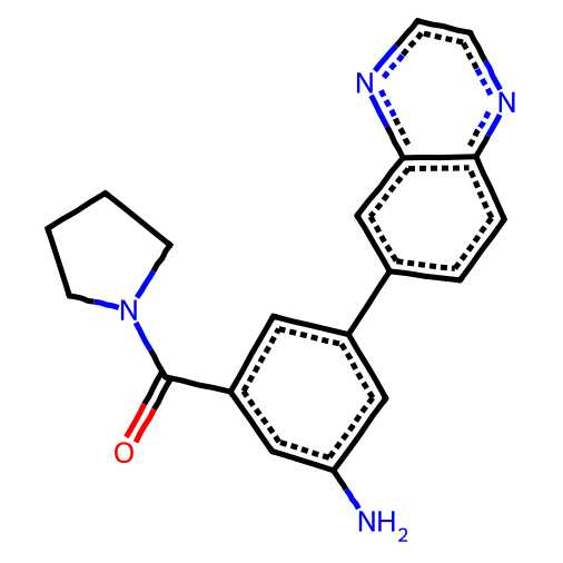 Nc1cc(C(=O)N2CCCC2)cc(-c2ccc3nccnc3c2)c1